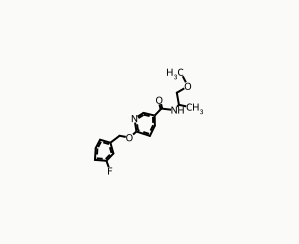 COCC(C)NC(=O)c1ccc(OCc2cccc(F)c2)nc1